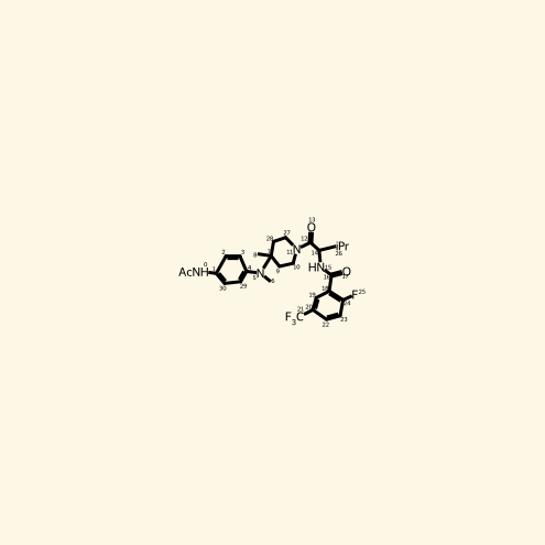 CC(=O)Nc1ccc(N(C)C2(C)CCN(C(=O)C(NC(=O)c3cc(C(F)(F)F)ccc3F)C(C)C)CC2)cc1